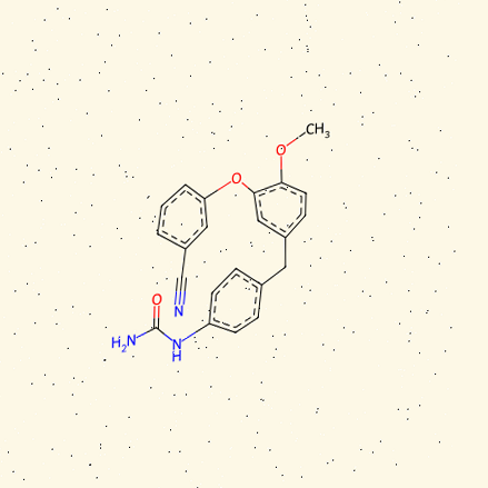 COc1ccc(Cc2ccc(NC(N)=O)cc2)cc1Oc1cccc(C#N)c1